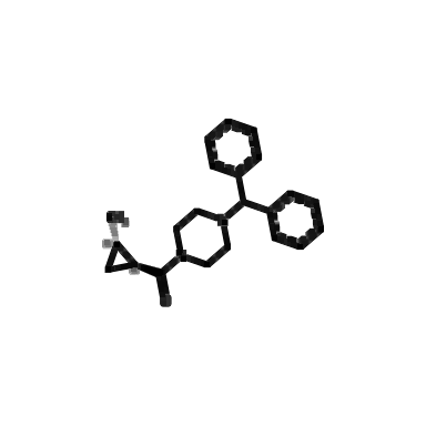 C[C@H]1C[C@@H]1C(=O)N1CCN(C(c2ccccc2)c2ccccc2)CC1